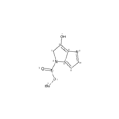 CC(C)(C)OC(=O)N1CC(O)=C2N=CC=C21